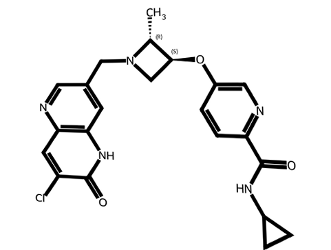 C[C@@H]1[C@@H](Oc2ccc(C(=O)NC3CC3)nc2)CN1Cc1cnc2cc(Cl)c(=O)[nH]c2c1